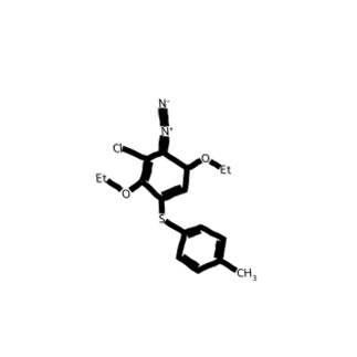 CCOC1=C(Cl)C(=[N+]=[N-])C(OCC)C=C1Sc1ccc(C)cc1